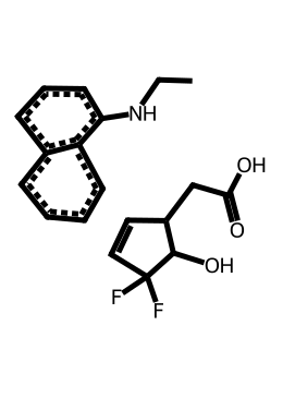 CCNc1cccc2ccccc12.O=C(O)CC1C=CC(F)(F)C1O